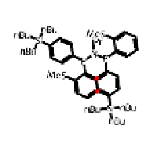 CCCC[Si](CCCC)(CCCC)c1ccc(P(c2ccccc2SC)N(C(C)C)P(c2ccc([Si](CCCC)(CCCC)CCCC)cc2)c2ccccc2SC)cc1